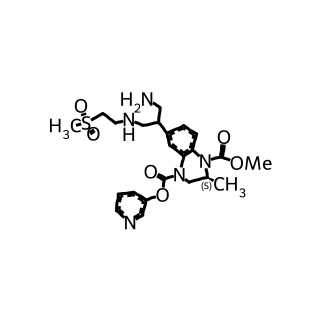 COC(=O)N1c2ccc(C(CN)CNCCS(C)(=O)=O)cc2N(C(=O)Oc2cccnc2)C[C@@H]1C